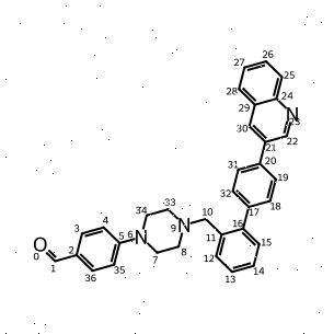 O=Cc1ccc(N2CCN(Cc3ccccc3-c3ccc(-c4cnc5ccccc5c4)cc3)CC2)cc1